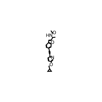 CC(=O)NC(C)c1cc2ccc(C#Cc3ccc(OCC4CC4)cn3)cc2o1